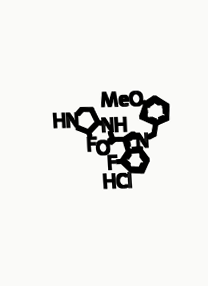 COc1cccc(Cn2cc(C(=O)NC3CCNCC3F)c3c(F)cccc32)c1.Cl